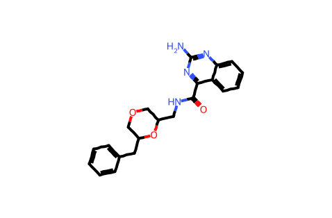 Nc1nc(C(=O)NCC2COCC(Cc3ccccc3)O2)c2ccccc2n1